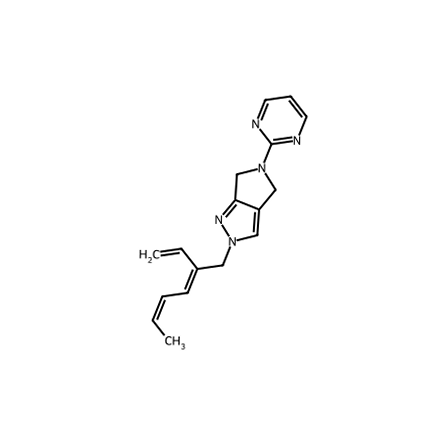 C=C/C(=C\C=C/C)Cn1cc2c(n1)CN(c1ncccn1)C2